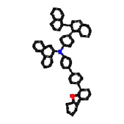 c1ccc2c(-c3ccc4ccccc4c3-c3ccc(N(c4ccc(-c5ccc(-c6cccc7c6oc6ccccc67)cc5)cc4)c4cc5ccccc5c5ccccc45)cc3)cccc2c1